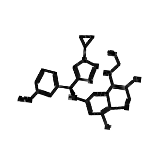 CC(=O)Nc1cccc([C@H](Nc2cc(Br)c3ncc(C#N)c(NCC(C)(C)C)c3c2)c2cn(C3CC3)nn2)c1